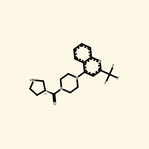 O=C([C@H]1CCNC1)N1CCN(c2cc(C(F)(F)F)nc3ccccc23)CC1